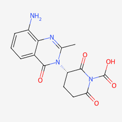 Cc1nc2c(N)cccc2c(=O)n1[C@H]1CCC(=O)N(C(=O)O)C1=O